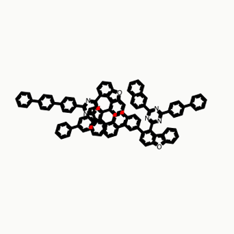 c1ccc(-c2ccc(-c3ccc(-c4nc(-c5ccccc5)nc(-c5cccc6oc7cccc(-c8ccc9cc(-c%10ccccc%10)ccc9c8-c8cccc9c8ccc8ccc(-c%10ccc%11oc%12ccccc%12c%11c%10-c%10nc(-c%11ccc(-c%12ccccc%12)cc%11)nc(-c%11ccc%12ccccc%12c%11)n%10)cc89)c7c56)n4)cc3)cc2)cc1